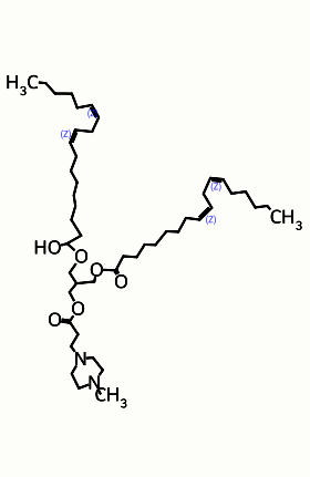 CCCCC/C=C\C/C=C\CCCCCCCC(=O)OCC(COC(=O)CCN1CCN(C)CC1)COC(O)CCCCCCC/C=C\C/C=C\CCCCC